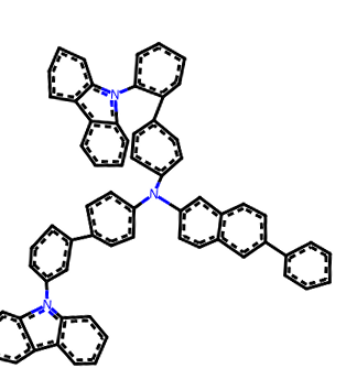 c1ccc(-c2ccc3cc(N(c4ccc(-c5cccc(-n6c7ccccc7c7ccccc76)c5)cc4)c4ccc(-c5ccccc5-n5c6ccccc6c6ccccc65)cc4)ccc3c2)cc1